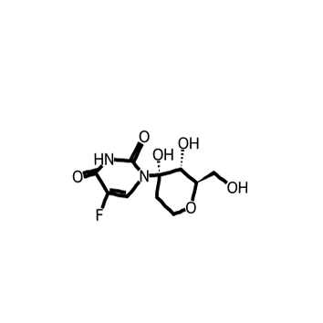 O=c1[nH]c(=O)n([C@]2(O)CCO[C@H](CO)[C@H]2O)cc1F